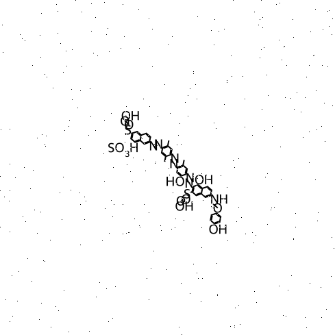 Cc1cc(N=Nc2cc(O)c(N=Nc3c(SOOO)cc4cc(NCOc5ccc(O)cc5)ccc4c3O)cc2C)c(C)cc1N=Nc1ccc2cc(SOOO)cc(S(=O)(=O)O)c2c1